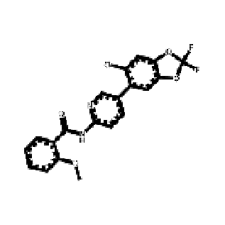 COc1ccccc1C(=O)Nc1ccc(-c2cc3c(cc2Cl)OC(F)(F)O3)cn1